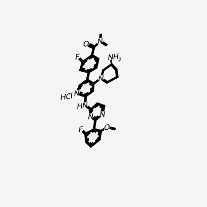 COc1cccc(F)c1-c1nccc(Nc2cc(N3CCC[C@H](N)C3)c(-c3ccc(C(=O)N(C)C)c(F)c3)cn2)n1.Cl